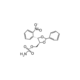 NS(=O)(=O)OC[C@@H]1OC(c2ccccc2)O[C@H]1c1ccccc1[N+](=O)[O-]